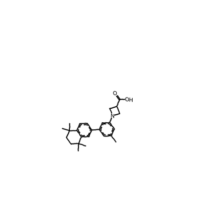 Cc1cc(-c2ccc3c(c2)C(C)(C)CCC3(C)C)cc(N2CC(C(=O)O)C2)c1